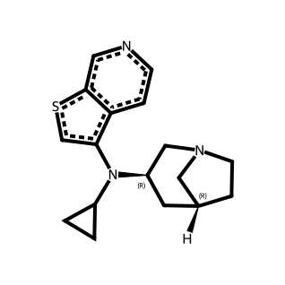 c1cc2c(N(C3CC3)[C@@H]3C[C@H]4CCN(C4)C3)csc2cn1